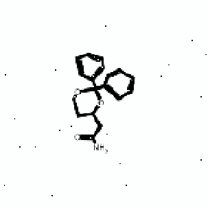 NC(=O)CC1CCOC(c2ccccc2)(c2ccccc2)O1